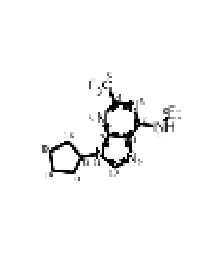 CCNc1nc(C(F)(F)F)nc2c1ncn2C1CCCC1